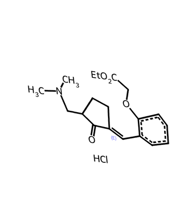 CCOC(=O)COc1ccccc1/C=C1\CCC(CN(C)C)C1=O.Cl